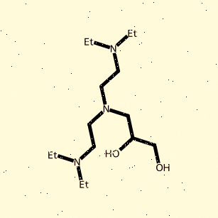 CCN(CC)CCN(CCN(CC)CC)CC(O)CO